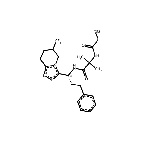 CC(C)(C)OC(=O)NC(C)(C)C(=O)N[C@H](CCc1ccccc1)c1nnc2n1CC(C(F)(F)F)CC2